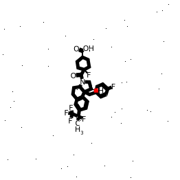 C[C@H]1CN(C(=O)[C@]2(F)CC[C@@H](C(=O)O)CC2)C2CCc3cc(C(C)(F)C(F)(F)F)ccc3C21Cc1ccc(F)cc1